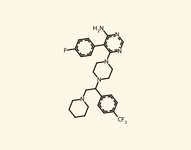 Nc1ncnc(N2CCN(C(CN3CCCCC3)c3ccc(C(F)(F)F)cc3)CC2)c1-c1ccc(F)cc1